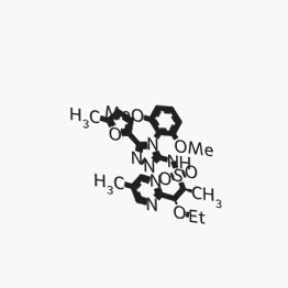 CCO[C@H](c1ncc(C)cn1)[C@H](C)S(=O)(=O)Nc1nnc(-c2ccc(C)o2)n1-c1c(OC)cccc1OC